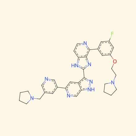 Fc1cc(OCCN2CCCC2)cc(-c2nccc3[nH]c(-c4n[nH]c5cnc(-c6cncc(CN7CCCC7)c6)cc45)nc23)c1